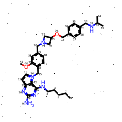 CCCCCNc1nc(N)nc2ccn(Cc3ccc(CN4CC(OCc5ccc(CNC(C)C)cc5)C4)cc3OC)c12